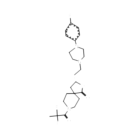 CC(F)(F)C(=O)N1CCC2(CC1)C[C@H](CCN1CCN(c3ccc(F)cc3)CC1)OC2=O